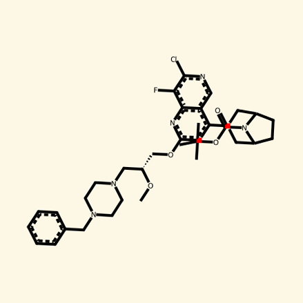 CO[C@@H](COc1nc(N2CC3CCC(C2)N3C(=O)OC(C)(C)C)c2cnc(Cl)c(F)c2n1)CN1CCN(Cc2ccccc2)CC1